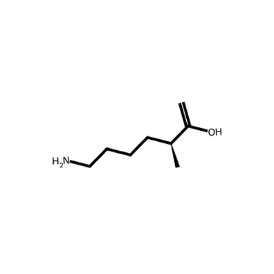 C=C(O)[C@@H](C)CCCCN